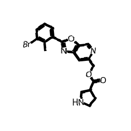 Cc1c(Br)cccc1-c1nc2cc(COC(=O)C3CCNC3)ncc2o1